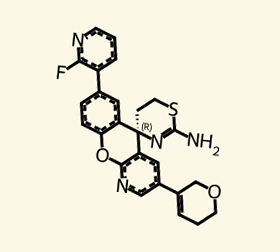 NC1=N[C@]2(CCS1)c1cc(-c3cccnc3F)ccc1Oc1ncc(C3=CCCOC3)cc12